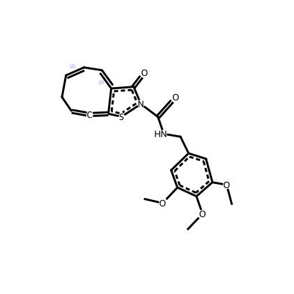 COc1cc(CNC(=O)n2sc3/c(c2=O)=C\C=C/CC=C=3)cc(OC)c1OC